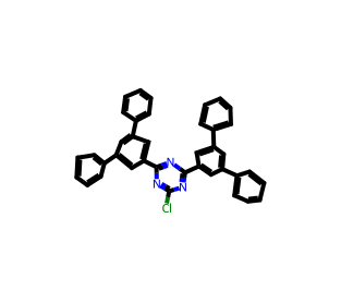 Clc1nc(-c2cc(-c3ccccc3)cc(-c3ccccc3)c2)nc(-c2cc(-c3ccccc3)cc(-c3ccccc3)c2)n1